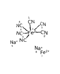 N#[C][Fe-4]([C]#N)([C]#N)([C]#N)([C]#N)[C]#N.[Fe+2].[Na+].[Na+]